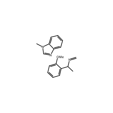 C=NC(C)c1ccccc1OC.Cn1cnc2ccccc21